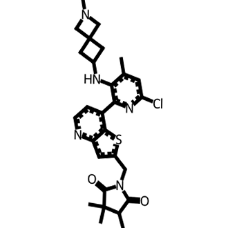 Cc1cc(Cl)nc(-c2ccnc3cc(CN4C(=O)C(C)C(C)(C)C4=O)sc23)c1NC1CC2(C1)CN(C)C2